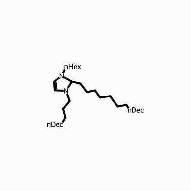 CCCCCCCCCCCCCCCCCC1N(CCCCCC)C=CN1CCCCCCCCCCCCC